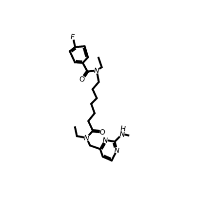 CCN(Cc1ccnc(NC)n1)C(=O)CCCCCCN(CC)C(=O)c1ccc(F)cc1